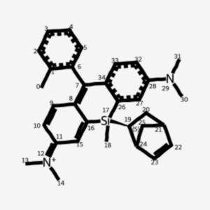 Cc1ccccc1C1=C2C=CC(=[N+](C)C)C=C2[Si](C)([C@H]2CC3C=CC2C3)c2cc(N(C)C)ccc21